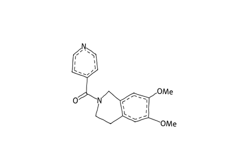 COc1cc2c(cc1OC)CN(C(=O)c1ccncc1)CC2